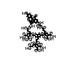 CC(C)C(CCC(=O)NC(CCC(=O)O)(CCC(=O)O)CCC(=O)O)(CCC(=O)NC(CCC(=O)O)(CCC(=O)O)CCC(=O)O)CCC(=O)NC(CCC(=O)O)(CCC(=O)O)CCC(=O)NCC(=O)Nc1ccc2c(c1)C(=O)OC21c2ccc(O)cc2Oc2cc(O)ccc21